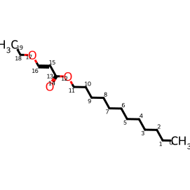 CCCCCCCCCCCCOC(=O)C=COCC